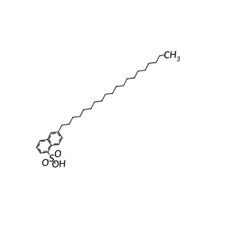 CCCCCCCCCCCCCCCCCCCCc1ccc2c(S(=O)(=O)O)cccc2c1